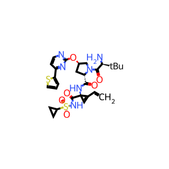 C=CC1=C[C@]1(NC(=O)[C@@H]1C[C@@H](Oc2nccc(-c3cccs3)n2)CN1C(=O)[C@@H](N)C(C)(C)C)C(=O)NS(=O)(=O)C1CC1